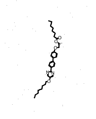 CCCCCCCCOc1cnc(-c2ccc(-c3ccc(OC[C@@H](C)OC(=O)CCCCCCC)cc3)cc2)nc1